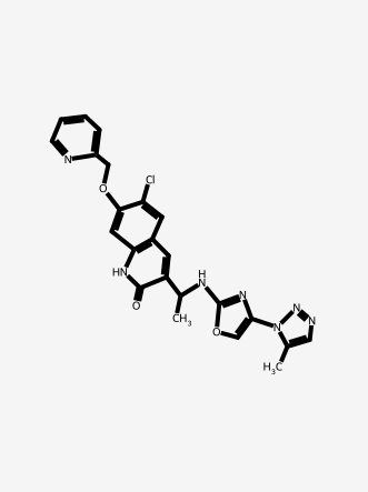 Cc1cnnn1-c1coc(NC(C)c2cc3cc(Cl)c(OCc4ccccn4)cc3[nH]c2=O)n1